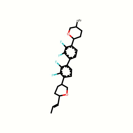 C/C=C/C1CCC(c2ccc(-c3ccc(C4CCC(CCC)CO4)c(F)c3F)c(F)c2F)CO1